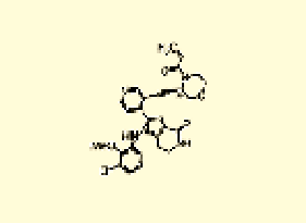 C=CC(=O)N1CCOC[C@H]1C#Cc1cnccc1-c1cc2c(n1Nc1cccc(Cl)c1OC)CCNC2=O